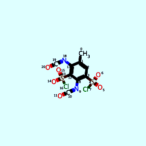 Cc1cc(S(=O)(=O)Cl)c(N=C=O)c(S(=O)(=O)Cl)c1N=C=O